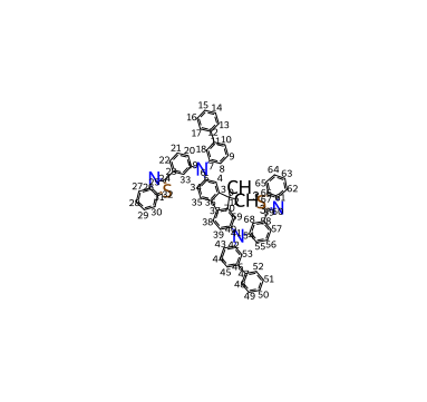 CC1(C)c2cc(N(c3cccc(-c4ccccc4)c3)c3cccc(-c4nc5ccccc5s4)c3)ccc2-c2ccc(N(c3cccc(-c4ccccc4)c3)c3cccc(-c4nc5ccccc5s4)c3)cc21